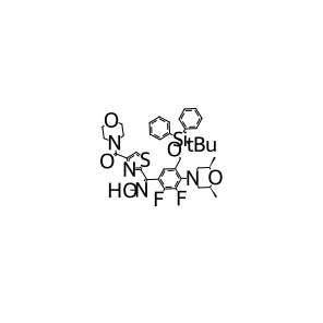 C[C@@H]1CN(c2c(CO[Si](c3ccccc3)(c3ccccc3)C(C)(C)C)cc(C(=NO)c3nc(C(=O)N4CCOCC4)cs3)c(F)c2F)C[C@H](C)O1